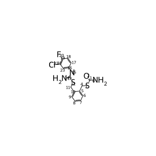 NC(=O)SCc1ccccc1CS/C(N)=N/c1ccc(F)c(Cl)c1